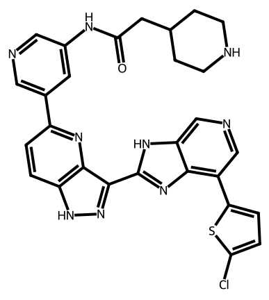 O=C(CC1CCNCC1)Nc1cncc(-c2ccc3[nH]nc(-c4nc5c(-c6ccc(Cl)s6)cncc5[nH]4)c3n2)c1